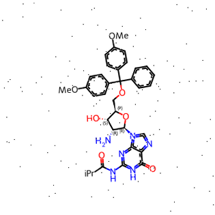 COc1ccc(C(OC[C@H]2O[C@@H](n3cnc4c(=O)[nH]c(NC(=O)C(C)C)nc43)[C@H](N)[C@@H]2O)(c2ccccc2)c2ccc(OC)cc2)cc1